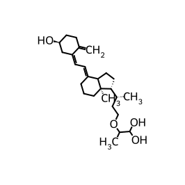 C=C1CC[C@H](O)C/C1=C/C=C1\CCC[C@@]2(C)C1CC[C@@H]2[C@H](C)CCOC(C)C(O)O